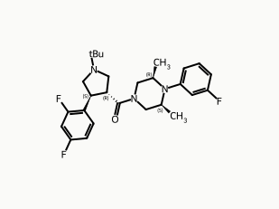 C[C@@H]1CN(C(=O)[C@H]2CN(C(C)(C)C)C[C@@H]2c2ccc(F)cc2F)C[C@H](C)N1c1cccc(F)c1